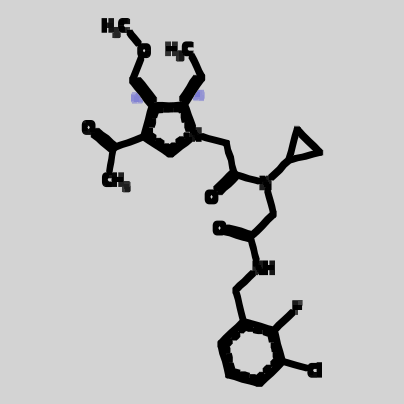 C/C=c1\c(=C/OC)c(C(C)=O)cn1CC(=O)N(CC(=O)NCc1cccc(Cl)c1F)C1CC1